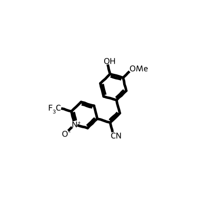 COc1cc(C=C(C#N)c2ccc(C(F)(F)F)[n+]([O-])c2)ccc1O